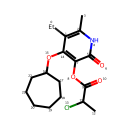 CCc1c(C)[nH]c(=O)c(OC(=O)C(C)Cl)c1OC1CCCCCC1